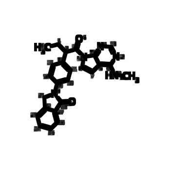 CCC(C(=O)n1ccc2c(NC)ncnc21)c1ccc(N2Cc3ccccc3C2=O)cc1